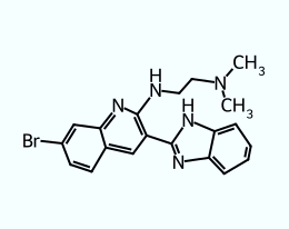 CN(C)CCNc1nc2cc(Br)ccc2cc1-c1nc2ccccc2[nH]1